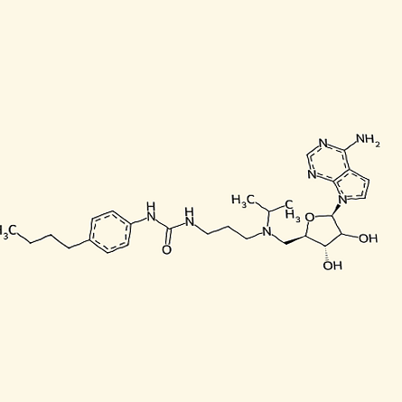 CCCCc1ccc(NC(=O)NCCCN(C[C@H]2O[C@@H](n3ccc4c(N)ncnc43)C(O)[C@@H]2O)C(C)C)cc1